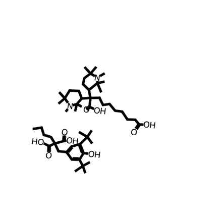 CCCCC(Cc1cc(C(C)(C)C)c(O)c(C(C)(C)C)c1)(C(=O)O)C(=O)O.CN1C(C)(C)CCC(C(CCCCCCCC(=O)O)(C(=O)O)C2CCC(C)(C)N(C)C2(C)C)C1(C)C